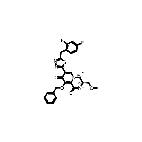 COC[C@H]1NC(=O)c2c(OCc3ccccc3)c(=O)c(-c3nnc(Cc4ccc(F)cc4F)s3)cn2[C@@H]1C